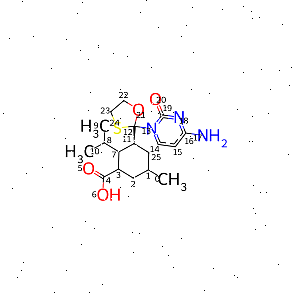 CC1CC(C(=O)O)C(C(C)C)[C@@H](C2(n3ccc(N)nc3=O)OCCS2)C1